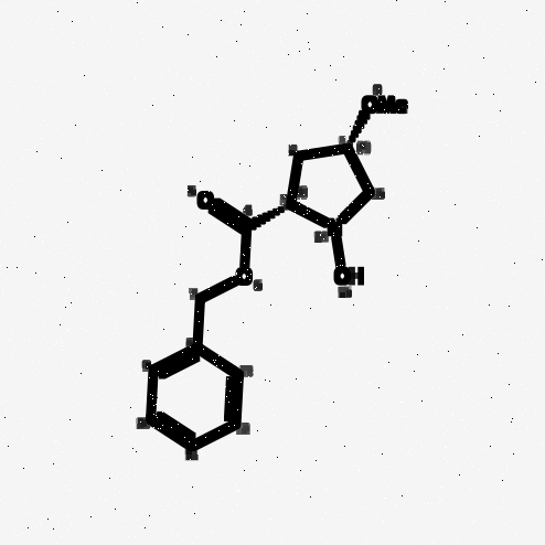 CO[C@H]1C[C@@H](C(=O)OCc2ccccc2)N(O)C1